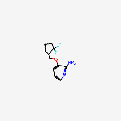 Nc1ncccc1OCC1CCCC1(F)F